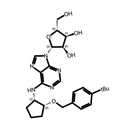 CC(C)(C)c1ccc(CO[C@@H]2CCC[C@@H]2Nc2ncnc3c2ncn3[C@@H]2O[C@H](CO)[C@@H](O)[C@H]2O)cc1